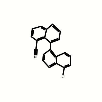 N#Cc1cccc2cccc(-c3cccc4c(Cl)cccc34)c12